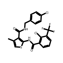 Cc1csc(NC(=O)c2cccc(C(F)(F)F)c2Cl)c1C(=O)NCc1ccc(Cl)cc1